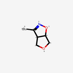 CC(C)(C)C1=NOC2COCC12